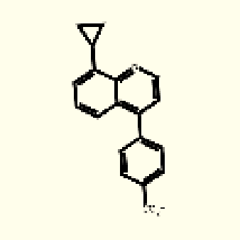 O=C(O)c1ccc(-c2c[c]nc3c(C4CC4)cccc23)cc1